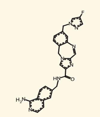 Nc1nccc2cc(CNC(=O)c3cn4c(n3)C=Nc3cc(Cn5cc(F)cn5)ccc3C4)ccc12